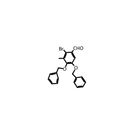 Cc1c(Br)c(C=O)cc(OCc2ccccc2)c1OCc1ccccc1